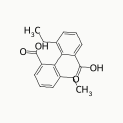 CCc1cccc(C(=O)O)c1-c1c(CC)cccc1C(=O)O